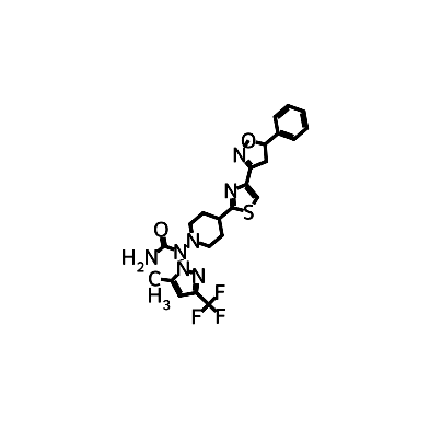 Cc1cc(C(F)(F)F)nn1N(C(N)=O)N1CCC(c2nc(C3=NOC(c4ccccc4)C3)cs2)CC1